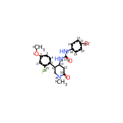 COc1ccc(C2CN(C)C(=O)CC2NC(=O)Nc2ccc(Br)cc2)c(F)c1